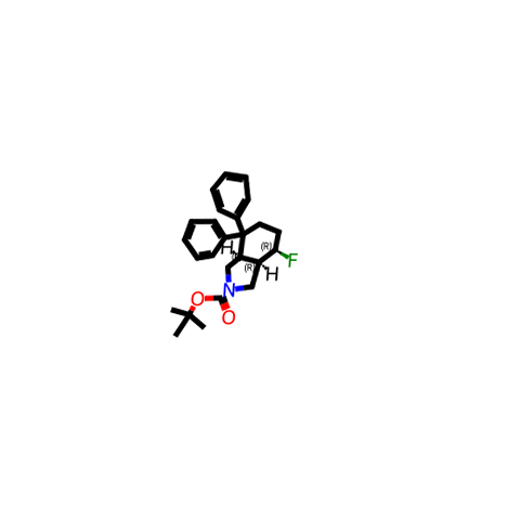 CC(C)(C)OC(=O)N1C[C@@H]2[C@H](F)CCC(c3ccccc3)(c3ccccc3)[C@@H]2C1